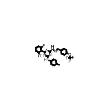 Cc1ccc(Nc2nc(N/N=C/c3ccc(OC(F)(F)F)cc3)nc(-c3c(F)cccc3Cl)n2)cc1